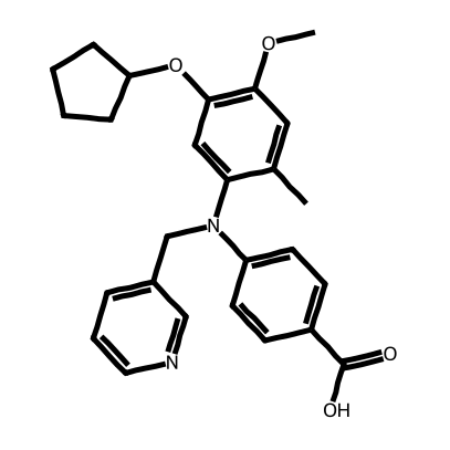 COc1cc(C)c(N(Cc2cccnc2)c2ccc(C(=O)O)cc2)cc1OC1CCCC1